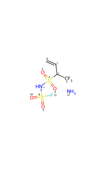 C=CC(C(F)(F)F)S(=O)(=O)NS(=O)(=O)F.N